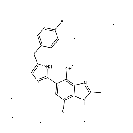 Cc1nc2c(O)c(-c3ncc(Cc4ccc(F)cc4)[nH]3)cc(Cl)c2[nH]1